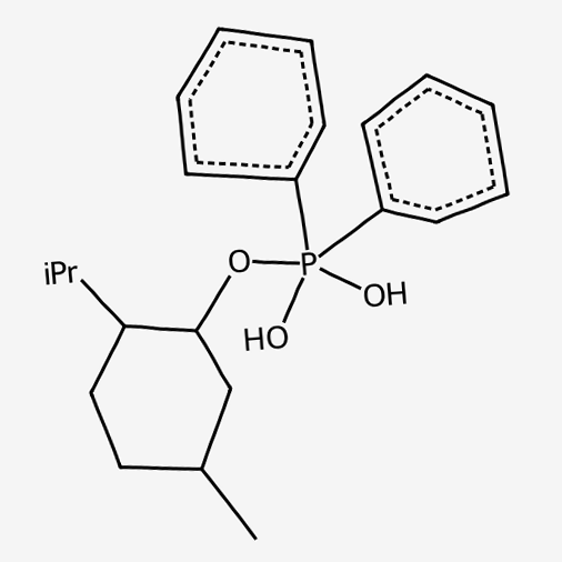 CC1CCC(C(C)C)C(OP(O)(O)(c2ccccc2)c2ccccc2)C1